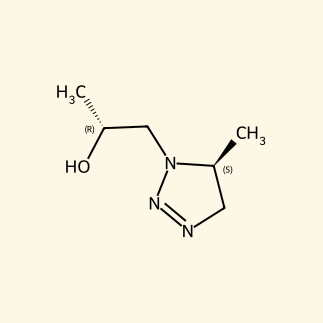 C[C@@H](O)CN1N=NC[C@@H]1C